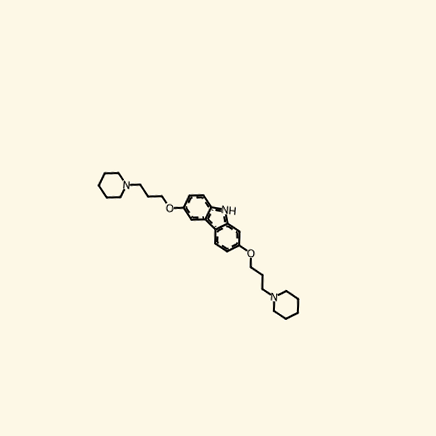 c1cc2c(cc1OCCCN1CCCCC1)[nH]c1ccc(OCCCN3CCCCC3)cc12